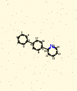 [c]1ccccc1-c1ccc(-c2ccccn2)cc1